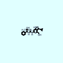 CC(C)(O)C(NC(=O)Nc1cc2[nH]nc(C3CC3)c2c(CO)n1)c1ccccc1